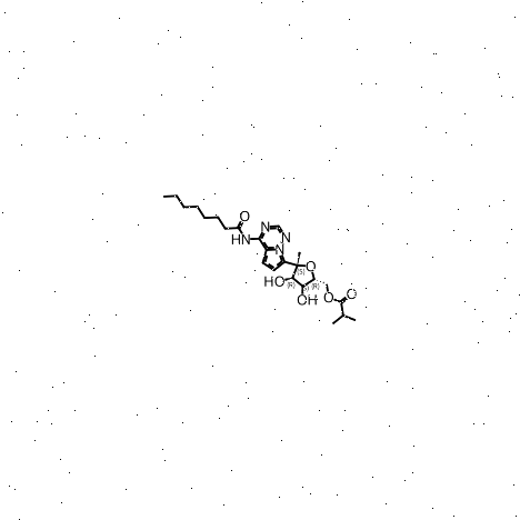 CCCCCCCC(=O)Nc1ncnn2c([C@]3(C)O[C@H](COC(=O)C(C)C)[C@@H](O)[C@H]3O)ccc12